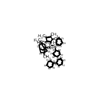 CC1=C(C)C(C)[C]([Ti]([NH]C23CC4CC(C)(CC(C)(C4)C2)C3)[SiH](c2ccccc2)c2ccccc2)=C1C.c1ccc(-c2ccccc2)cc1